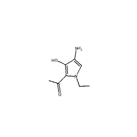 CCn1cc(N)c(O)c1C(C)=O